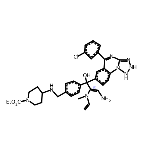 C=CN(C)/C(=C\N)C(O)(c1ccc(CNC2CCN(C(=O)OCC)CC2)cc1)c1ccc2c(c1)C(c1cccc(Cl)c1)=NC1=NNNN12